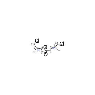 C/C(=C\CS(=O)(=O)C/C=C(\C)CCl)CCl